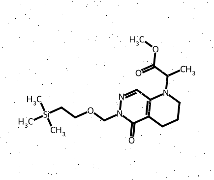 COC(=O)C(C)N1CCCc2c1cnn(COCC[Si](C)(C)C)c2=O